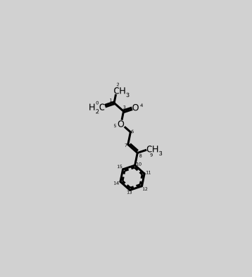 C=C(C)C(=O)OCC=C(C)c1ccccc1